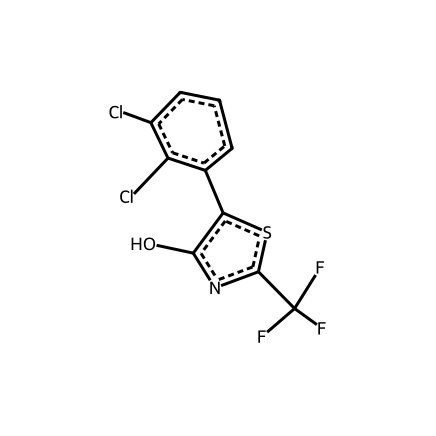 Oc1nc(C(F)(F)F)sc1-c1cccc(Cl)c1Cl